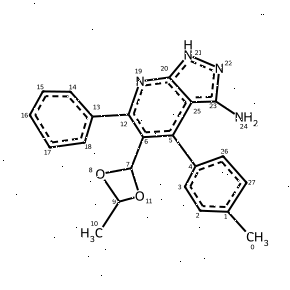 Cc1ccc(-c2c(C3OC(C)O3)c(-c3ccccc3)nc3[nH]nc(N)c23)cc1